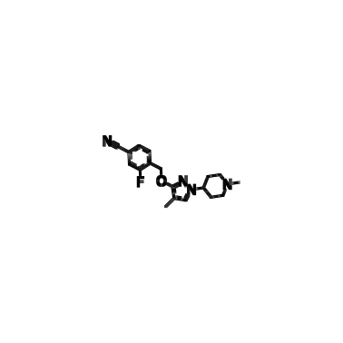 Cc1cn(C2CCN(C)CC2)nc1OCc1ccc(C#N)cc1F